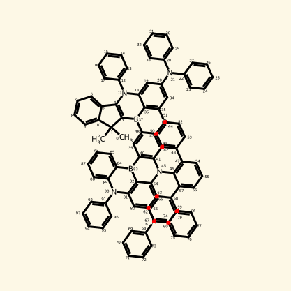 CC1(C)C2=C(c3ccccc31)N(c1ccccc1)c1cc(N(c3ccccc3)c3ccccc3)cc3c1B2c1cc2c(cc1O3)N(c1c(-c3ccccc3)cccc1-c1ccccc1)c1cc(N(c3ccccc3)c3ccccc3)cc3c1B2c1ccccc1N3c1ccccc1